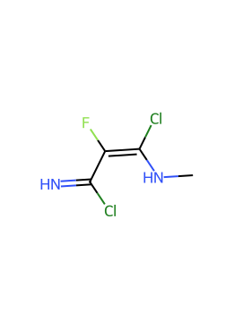 CN/C(Cl)=C(/F)C(=N)Cl